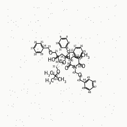 Cc1cn([C@@]2([SiH](c3ccccc3)c3ccccc3)C[C@@](O)(COCc3ccccc3)[C@@H](COC(C)(C)C)O2)c(=O)n(COCc2ccccc2)c1=O